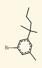 CCCC(C)(C)c1cc(C)cc(Br)c1